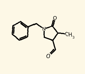 CC1C(=O)N(Cc2ccccc2)CC1C=O